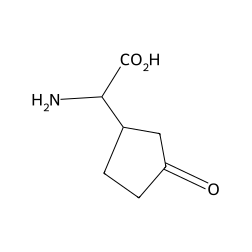 NC(C(=O)O)C1CCC(=O)C1